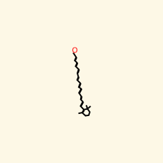 CC1=C(C=CC=CC=CC=CC=CC=CC=CC=CC=O)C(C)(C)CCC1